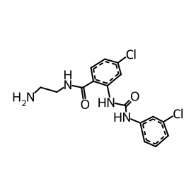 NCCNC(=O)c1ccc(Cl)cc1NC(=O)Nc1cccc(Cl)c1